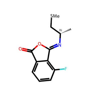 CSC[C@H](C)N=C1OC(=O)c2cccc(F)c21